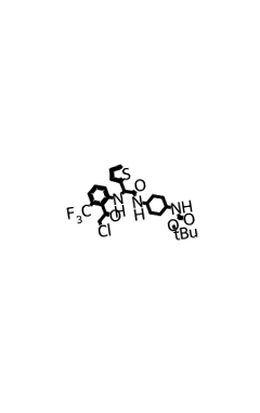 CC(C)(C)OC(=O)NC1CCC(NC(=O)C(Nc2cccc(C(F)(F)F)c2C(=O)CCl)c2cccs2)CC1